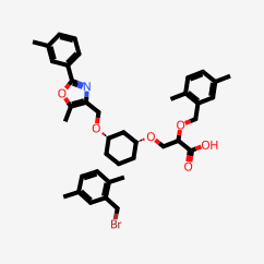 Cc1ccc(C)c(CBr)c1.Cc1cccc(-c2nc(CO[C@H]3CCC[C@@H](OCC(OCc4cc(C)ccc4C)C(=O)O)C3)c(C)o2)c1